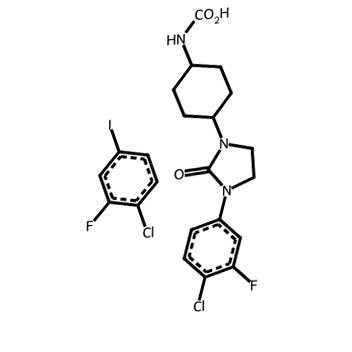 Fc1cc(I)ccc1Cl.O=C(O)NC1CCC(N2CCN(c3ccc(Cl)c(F)c3)C2=O)CC1